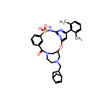 Cc1cccc(C)c1-c1cc2nc(n1)NS(=O)(=O)c1cccc(c1)C(=O)N1CCN(CC3CC4C=CC3C4)CC(C1)O2